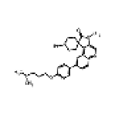 CC(C)N1CCC2(CC1)C(=O)N(C)c1cnc3ccc(-c4ccc(OCCCN(C)C)nc4)cc3c12